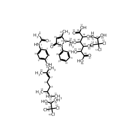 CC(=O)Nc1ccc(O)cc1.CNC(C)CCC=C(C)C.Cc1cc(=O)n(-c2ccccc2)n1C.O=C(O)C(O)C(O)C(O)C(O)C(=O)O.OC(O)C(Cl)(Cl)Cl.OC(O)C(Cl)(Cl)Cl